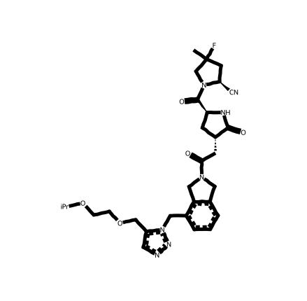 CC(C)OCCOCc1cnnn1Cc1cccc2c1CN(C(=O)C[C@@H]1C[C@@H](C(=O)N3CC(C)(F)C[C@H]3C#N)NC1=O)C2